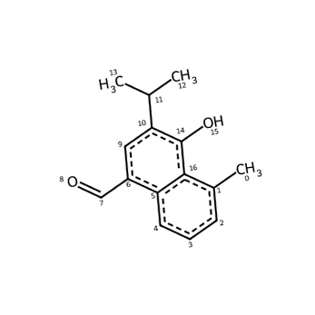 Cc1cccc2c(C=O)cc(C(C)C)c(O)c12